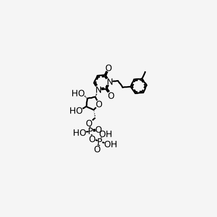 Cc1cccc(CCn2c(=O)ccn([C@@H]3O[C@H](COP(=O)(O)OP(=O)(O)O)C(O)[C@@H]3O)c2=O)c1